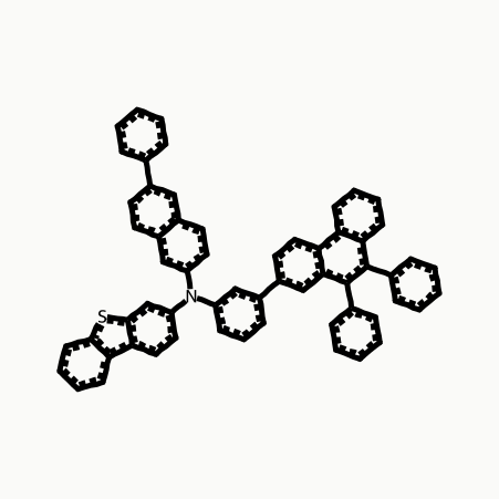 c1ccc(-c2ccc3cc(N(c4cccc(-c5ccc6c(c5)c(-c5ccccc5)c(-c5ccccc5)c5ccccc56)c4)c4ccc5c(c4)sc4ccccc45)ccc3c2)cc1